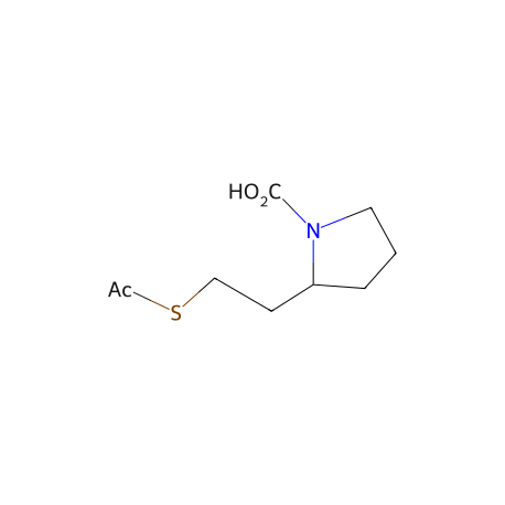 CC(=O)SCCC1CCCN1C(=O)O